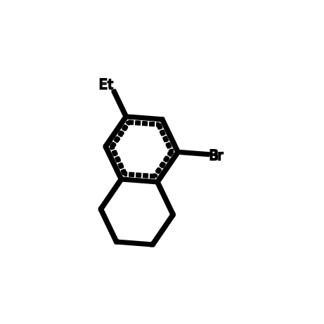 CCc1cc(Br)c2c(c1)CCCC2